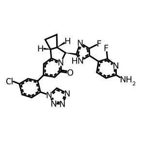 Nc1ccc(-c2[nH]c([C@@H]3[C@H]4CC[C@H]4c4cc(-c5cc(Cl)ccc5-n5cnnn5)cc(=O)n43)nc2F)c(F)n1